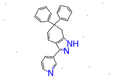 C1=CC(c2ccccc2)(c2ccccc2)Cc2[nH]nc(-c3cccnc3)c21